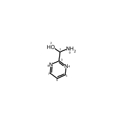 NC(O)c1ncccn1